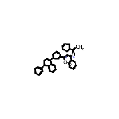 C=C(/N=C(\C=C(/C)c1cccc(-c2ccc(C3=CCCC=C3)c3ccccc23)c1)C1C=CC=CC1)C1=CC=CCC1